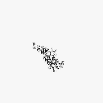 COc1cccc(O)c1-n1c(NS(=O)(=O)[C@@H](C)[C@H](C)c2ncc(F)cn2)nnc1C1=C=C=CC(OCCF)=N1